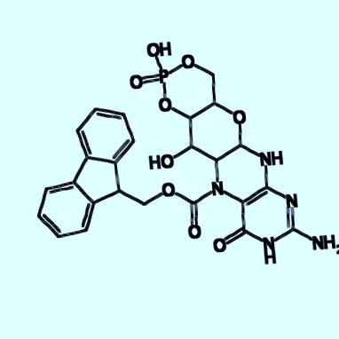 Nc1nc2c(c(=O)[nH]1)N(C(=O)OCC1c3ccccc3-c3ccccc31)C1C(N2)OC2COP(=O)(O)OC2C1O